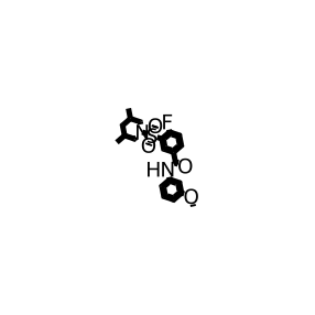 COc1cccc(NC(=O)c2ccc(F)c(S(=O)(=O)N3CC(C)CC(C)C3)c2)c1